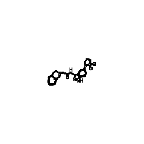 O=C(CN1CCc2ccccc2C1)Nc1n[nH]c2ccc(N3CCCS3(=O)=O)cc12